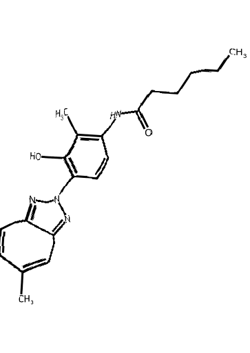 CCCCCC(=O)Nc1ccc(-n2nc3ccc(C)cc3n2)c(O)c1C